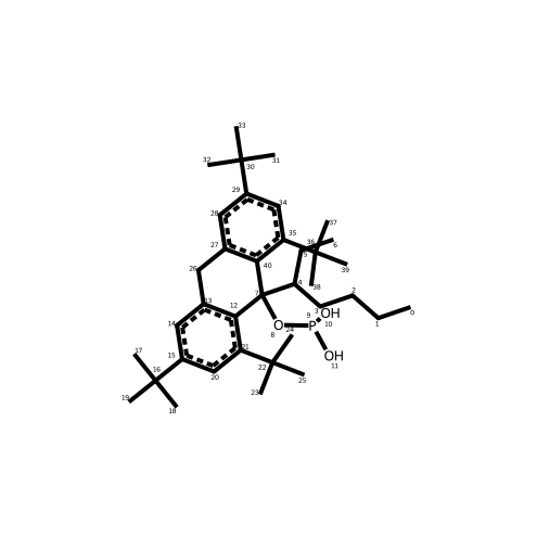 CCCCC(CC)C1(OP(O)O)c2c(cc(C(C)(C)C)cc2C(C)(C)C)Cc2cc(C(C)(C)C)cc(C(C)(C)C)c21